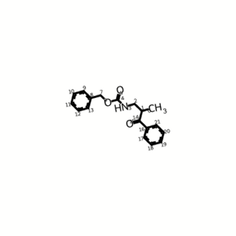 CC(CNC(=O)OCc1ccccc1)C(=O)c1ccccc1